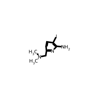 CN(C)Cc1ccc(I)c(N)n1